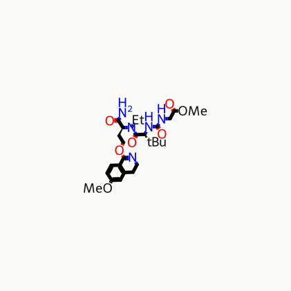 CCN(C(=O)[C@@H](NC(=O)NCC(=O)OC)C(C)(C)C)[C@@H](CCOC1=NCCc2cc(OC)ccc21)C(N)=O